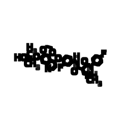 CN/C=C(\C(=O)Nc1ccc(F)cc1)C(=O)Nc1ccc(Oc2ccnc3cc(OCC(C)(C)O)c4c(c23)OCCO4)c(F)c1